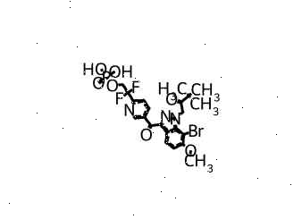 COc1ccc2c(C(=O)c3ccc(C(F)(F)COP(=O)(O)O)nc3)nn(CC(=O)C(C)(C)C)c2c1Br